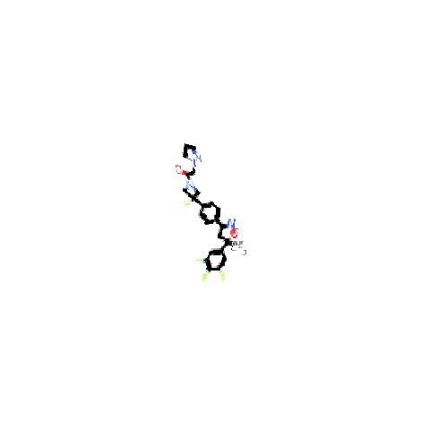 O=C(Cn1cccn1)N1CC(F)(c2ccc(C3=NOC(c4cc(F)c(F)c(F)c4)(C(F)(F)F)C3)cc2)C1